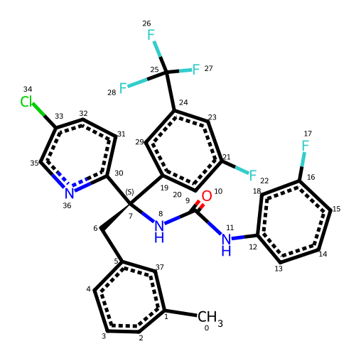 Cc1cccc(C[C@](NC(=O)Nc2cccc(F)c2)(c2cc(F)cc(C(F)(F)F)c2)c2ccc(Cl)cn2)c1